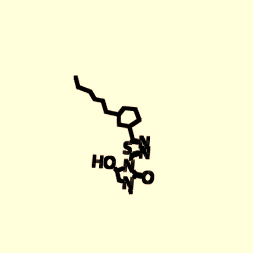 CCCCCCC1CCCC(c2nnc(N3C(=O)N(C)CC3O)s2)C1